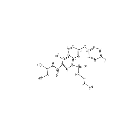 CC(CO)NC(=O)c1nc(C(=O)NCCC#N)c2cc(Cc3ccc(F)cc3)cnc2c1O